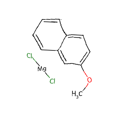 COc1ccc2[c]cccc2c1.[Cl][Mg][Cl]